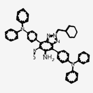 Nc1c(N=S)c(-c2ccc(N(c3ccccc3)c3ccccc3)cc2)c2nn(CC3CCCCC3)nc2c1-c1ccc(N(c2ccccc2)c2ccccc2)cc1